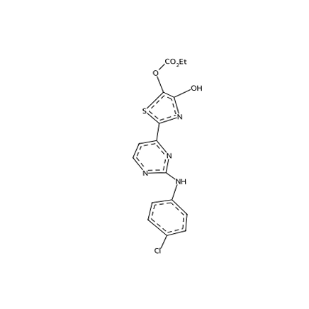 CCOC(=O)Oc1sc(-c2ccnc(Nc3ccc(Cl)cc3)n2)nc1O